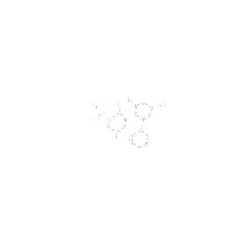 NS(=O)(=O)c1cc(F)c(-c2ncccc2-c2cc(Cl)cc(Cl)c2)cc1F